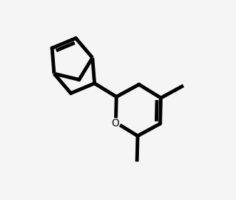 CC1=CC(C)OC(C2CC3C=CC2C3)C1